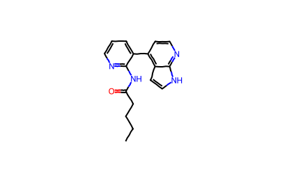 CCCCC(=O)Nc1ncccc1-c1ccnc2[nH]ccc12